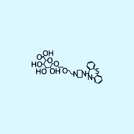 O=C(O)C1OC(OCCOCCN2CCN(C3=Nc4ccccc4Sc4ccccc43)CC2)C(O)C(O)C1O